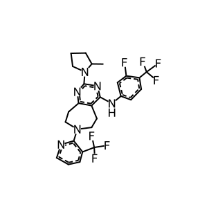 CC1CCCN1c1nc2c(c(Nc3ccc(C(F)(F)F)c(F)c3)n1)CCN(c1ncccc1C(F)(F)F)CC2